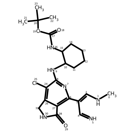 CN/C=C(\C=N)c1nc(NC2CCCCC2NC(=O)OC(C)(C)C)c(Cl)c2c1C(=O)NC2